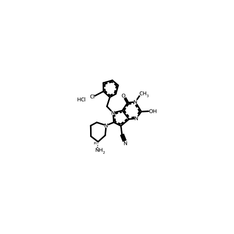 Cl.Cn1c(O)nc2c(C#N)c(N3CCC[C@@H](N)C3)n(Cc3ccccc3Cl)c2c1=O